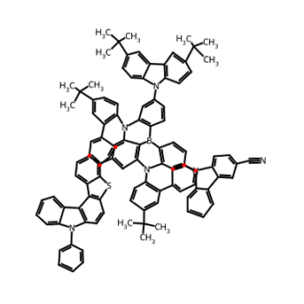 CC(C)(C)c1ccc(N2c3cc(-n4c5ccccc5c5cc(C#N)ccc54)ccc3B3c4ccc(-n5c6ccc(C(C)(C)C)cc6c6cc(C(C)(C)C)ccc65)cc4N(c4ccc(C(C)(C)C)cc4-c4ccccc4)c4cc(-c5cccc6c5sc5ccc7c(c8ccccc8n7-c7ccccc7)c56)cc2c43)c(-c2ccccc2)c1